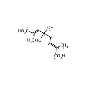 CC(=CCC(O)(O)C=C(C)C(=O)O)C(=O)O